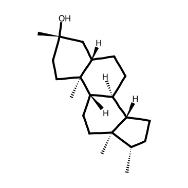 C[C@H]1CC[C@H]2[C@@H]3CC[C@H]4C[C@@](C)(O)CC[C@]4(C)[C@H]3CC[C@]12C